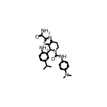 CC(C)c1ccc(N)c(C2c3sc(C(N)=O)nc3CCN2C(=O)Nc2ccc(N(C)C)cc2)c1